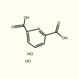 Cl.Cl.O=C(O)c1cccc(C(=O)O)n1